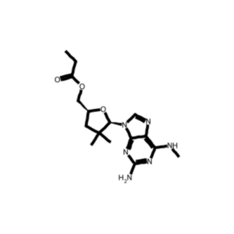 CCC(=O)OC[C@@H]1CC(C)(C)[C@H](n2cnc3c(NC)nc(N)nc32)O1